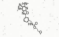 CNc1nc2oc(-c3cccc(CNC(=O)OCCOC)c3)nc2c2c1ncn2C